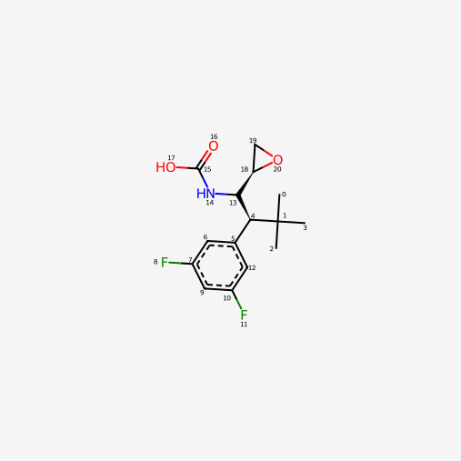 CC(C)(C)[C@@H](c1cc(F)cc(F)c1)C(NC(=O)O)[C@H]1CO1